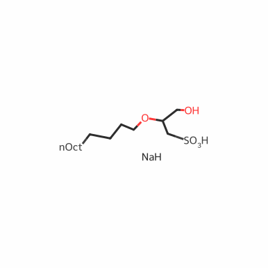 CCCCCCCCCCCCOC(CO)CS(=O)(=O)O.[NaH]